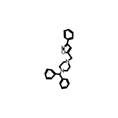 c1ccc(-c2cc(CN3CCN(C(c4ccccc4)c4ccccc4)CC3)on2)cc1